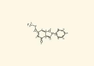 O=C1N=C(OCC(F)(F)F)C=C2OC(c3ccccc3)N=C12